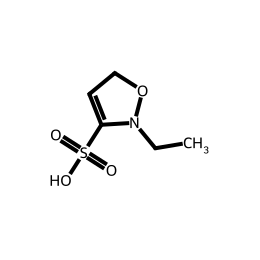 CCN1OCC=C1S(=O)(=O)O